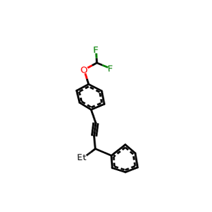 CCC(C#Cc1ccc(OC(F)F)cc1)c1ccccc1